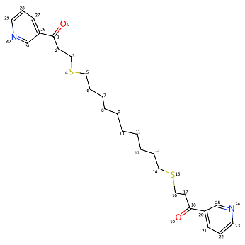 O=C(CCSCCCCCCCCCCSCCC(=O)c1cccnc1)c1cccnc1